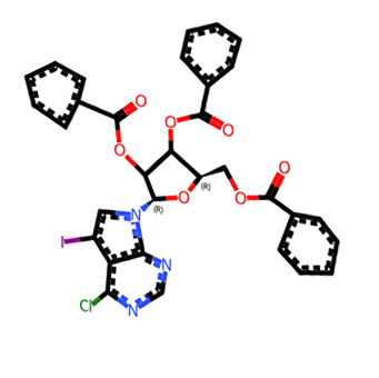 O=C(OC[C@H]1O[C@@H](n2cc(I)c3c(Cl)ncnc32)C(OC(=O)c2ccccc2)C1OC(=O)c1ccccc1)c1ccccc1